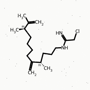 C=C(C)[C@H](C)CCCCC(=C)[C@@H](C)CCCNC(=N)CCl